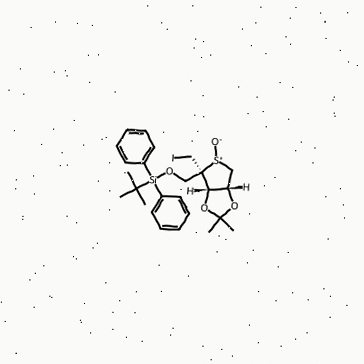 CC1(C)O[C@H]2C[S+]([O-])[C@](CI)(CO[Si](c3ccccc3)(c3ccccc3)C(C)(C)C)[C@H]2O1